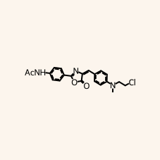 CC(=O)Nc1ccc(C2=N/C(=C/c3ccc(N(C)CCCl)cc3)C(=O)O2)cc1